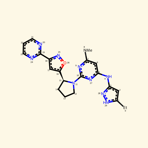 CCc1cc(Nc2cc(NC)nc(N3CCC[C@H]3c3cc(-c4ncccn4)no3)n2)n[nH]1